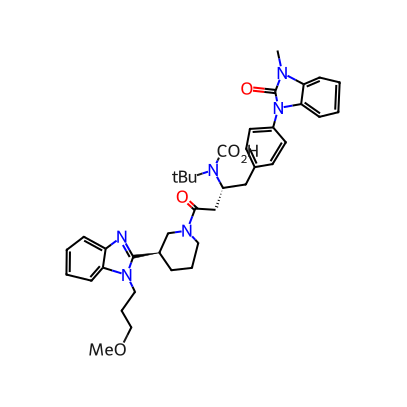 COCCCn1c([C@@H]2CCCN(C(=O)C[C@@H](Cc3ccc(-n4c(=O)n(C)c5ccccc54)cc3)N(C(=O)O)C(C)(C)C)C2)nc2ccccc21